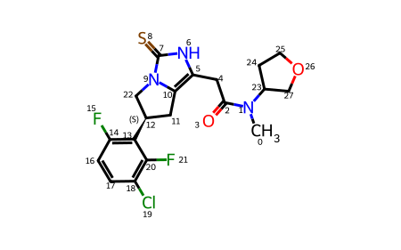 CN(C(=O)Cc1[nH]c(=S)n2c1C[C@@H](c1c(F)ccc(Cl)c1F)C2)C1CCOC1